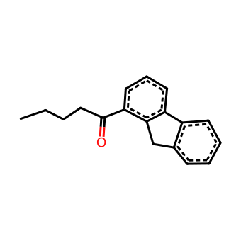 CCCCC(=O)c1cccc2c1Cc1ccccc1-2